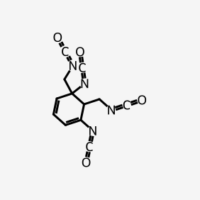 O=C=NCC1C(N=C=O)=CC=CC1(CN=C=O)N=C=O